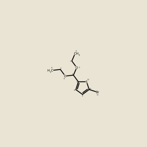 CCOC(OCC)c1ccc(Br)s1